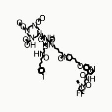 C#C[C@H]1CC(F)(F)CN1C(=O)CNC(=O)c1ccnc2ccc(OCCCC3CCN(C(=O)CCCCCNC(=O)[C@H](CSCCNC(=O)CCCc4ccc(I)cc4)NC(=O)CN4CCN(COC=O)CCN(COC=O)CCN(CC(=O)O)CC4)CC3)cc12